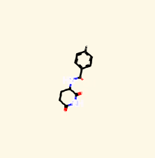 CCc1ccc(C(O)NC2CCC(=O)NC2=O)cc1